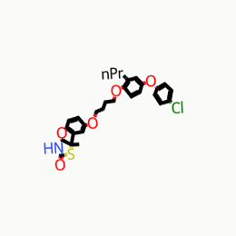 CCCc1cc(Oc2ccc(Cl)cc2)ccc1OCCCCOc1cccc(C2(C)SC(=O)NC2=O)c1